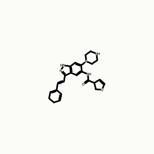 O=C(Nc1cc2c(/C=C/C3=CCCC=C3)n[nH]c2cc1N1CCNCC1)C1C=COC1